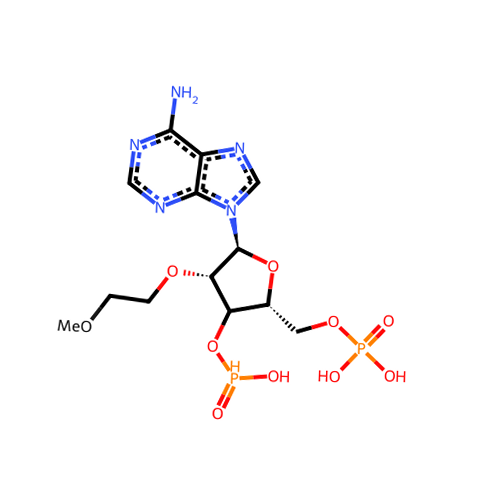 COCCO[C@H]1C(O[PH](=O)O)[C@@H](COP(=O)(O)O)O[C@@H]1n1cnc2c(N)ncnc21